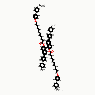 CCCCC[C@H]1CC[C@H](c2ccc(OCCCCCCCCCCCC(=O)Oc3ccc4cc(-c5ccc([C@H]6CC[C@H](CCC)CC6)cc5)ccc4c3-c3c(OC(=O)CCCCCCCCCCCOc4ccc([C@H]5CC[C@H](CCCCC)CC5)cc4)ccc4cc(-c5ccc([C@H]6CC[C@H](CCC)CC6)cc5)ccc34)cc2)CC1